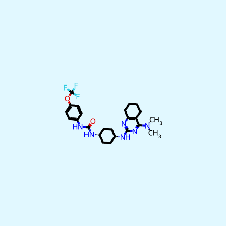 CN(C)c1nc(N[C@H]2CC[C@@H](NC(=O)Nc3ccc(OC(F)(F)F)cc3)CC2)nc2c1CCCC2